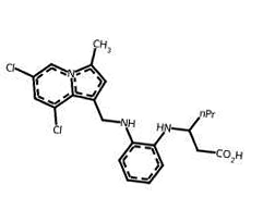 CCCC(CC(=O)O)Nc1ccccc1NCc1cc(C)n2cc(Cl)cc(Cl)c12